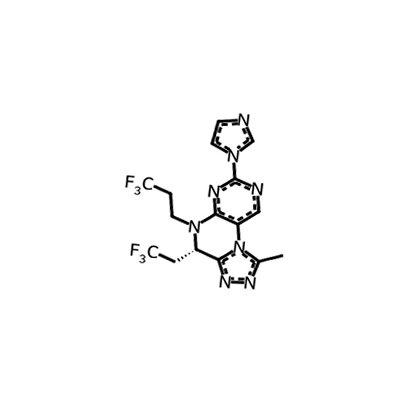 Cc1nnc2n1-c1cnc(-n3ccnc3)nc1N(CCC(F)(F)F)[C@H]2CC(F)(F)F